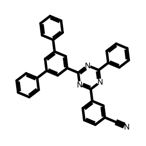 N#Cc1cccc(-c2nc(-c3ccccc3)nc(-c3cc(-c4ccccc4)cc(-c4ccccc4)c3)n2)c1